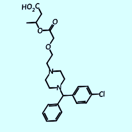 CC(CC(=O)O)OC(=O)COCCN1CCN(C(c2ccccc2)c2ccc(Cl)cc2)CC1